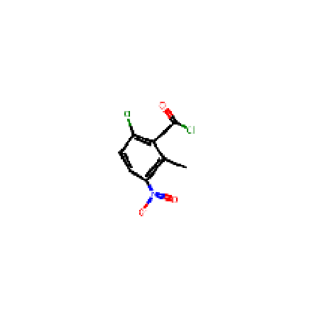 Cc1c([N+](=O)[O-])ccc(Cl)c1C(=O)Cl